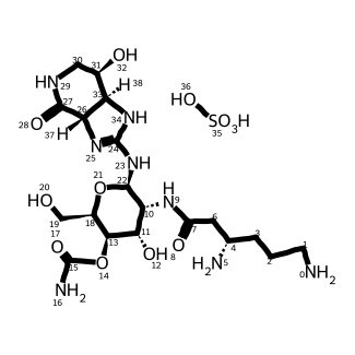 NCCC[C@H](N)CC(=O)N[C@@H]1[C@H](O)[C@@H](OC(N)=O)[C@@H](CO)O[C@H]1NC1=N[C@@H]2C(=O)NC[C@@H](O)[C@H]2N1.O=S(=O)(O)O